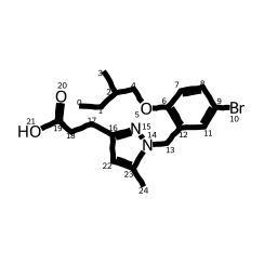 CCC(C)COc1ccc(Br)cc1Cn1nc(CCC(=O)O)cc1C